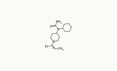 C/C=C(/CC)N1CCC(N(C(N)=O)C2CCCCC2)CC1